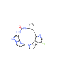 C[C@@H]1CCc2ncc(F)cc2[C@H]2CCCN2c2ccn3ncc(c3n2)NC(=O)N1